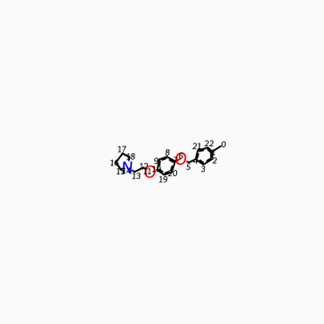 Cc1ccc(COc2ccc(OCCN3CCCC3)cc2)cc1